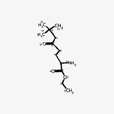 CCOC(=O)C(N)CCC(=O)CC(C)(C)C